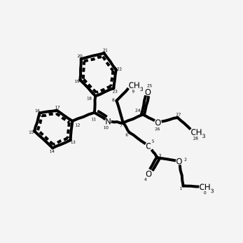 CCOC(=O)CCC(CC)(N=C(c1ccccc1)c1ccccc1)C(=O)OCC